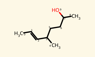 CC=CC(C)CCC(C)O